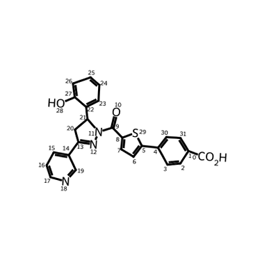 O=C(O)c1ccc(-c2ccc(C(=O)N3N=C(c4cccnc4)CC3c3ccccc3O)s2)cc1